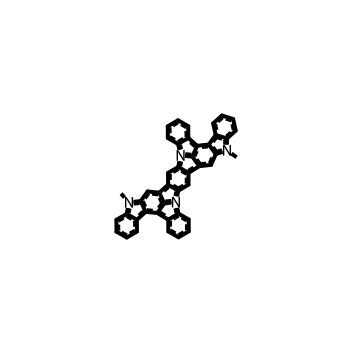 Cn1c2ccccc2c2c3c4ccccc4n4c5cc6c7cc8c(c9ccccc9n8C)c8c9ccccc9n(c6cc5c(cc21)c34)c78